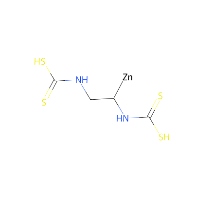 S=C(S)NC[CH]([Zn])NC(=S)S